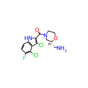 NC[C@@H]1CN(C(=O)c2[nH]c3ccc(F)c(Cl)c3c2Cl)CCO1